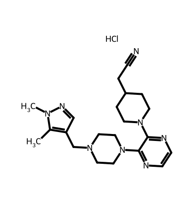 Cc1c(CN2CCN(c3nccnc3N3CCC(CC#N)CC3)CC2)cnn1C.Cl